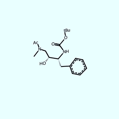 CC(=O)N(C)C[C@@H](O)[C@@H](Cc1ccccc1)NC(=O)OC(C)(C)C